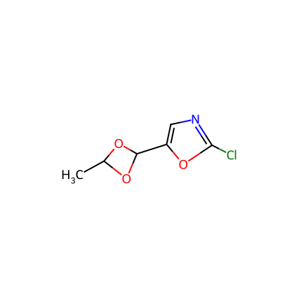 CC1OC(c2cnc(Cl)o2)O1